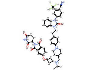 CC(C)N(CC1CCN(c2ccc(CCn3c(=O)n(-c4ccc(C#N)c(C(F)(F)F)c4)c4ccccc43)cc2)CC1)[C@H]1C[C@H](Oc2ccc3c(c2)C(=O)N(C2CCC(=O)NC2=O)C3=O)C1